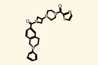 O=C(c1ccc2c(c1)CCN(c1ccccc1)C2)N1CC(N2CCN(C(=O)c3nccs3)CC2)C1